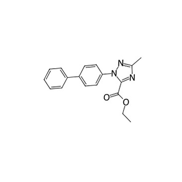 CCOC(=O)c1nc(C)nn1-c1ccc(-c2ccccc2)cc1